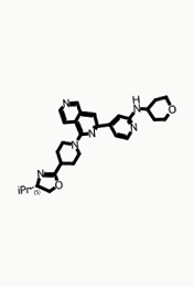 CC(C)[C@H]1COC(C2CCN(c3nc(-c4ccnc(NC5CCOCC5)c4)cc4cnccc34)CC2)=N1